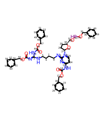 O=C(/N=C(/NCCCC/N=c1\nc(NC(=O)OCc2ccccc2)ccn1[C@H]1CC[C@@H](COPOCc2ccccc2)O1)NC(=O)OCc1ccccc1)OCc1ccccc1